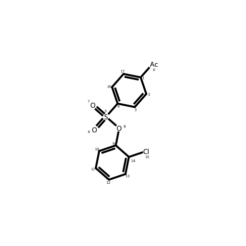 CC(=O)c1ccc(S(=O)(=O)Oc2ccccc2Cl)cc1